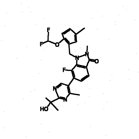 Cc1ccc(OC(F)F)c(Cn2c3c(F)c(-c4cnc(C(C)(C)O)nc4C)ccc3c(=O)n2C)c1